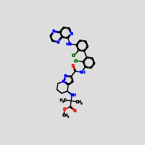 COC(=O)C(C)(C)N[C@H]1CCCn2nc(C(=O)Nc3cccc(-c4cccc(Nc5nccc6nccnc56)c4Cl)c3Cl)cc21